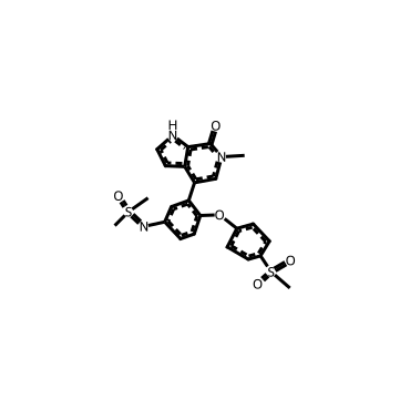 Cn1cc(-c2cc(N=S(C)(C)=O)ccc2Oc2ccc(S(C)(=O)=O)cc2)c2cc[nH]c2c1=O